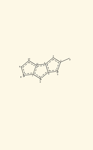 Cc1cc2c(s1)sc1sccc12